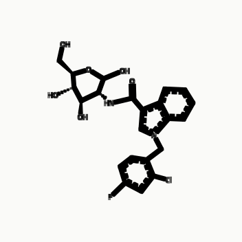 O=C(N[C@H]1C(O)O[C@H](CO)[C@@H](O)[C@@H]1O)c1cn(Cc2ccc(F)cc2Cl)c2ccccc12